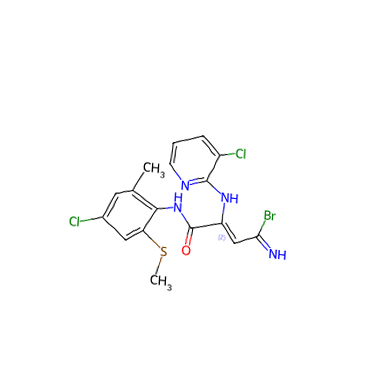 CSc1cc(Cl)cc(C)c1NC(=O)/C(=C/C(=N)Br)Nc1ncccc1Cl